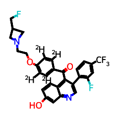 [2H]c1c([2H])c(C(=O)c2c(-c3ccc(C(F)(F)F)cc3F)cnc3cc(O)ccc23)c([2H])c([2H])c1OCCN1CC(CF)C1